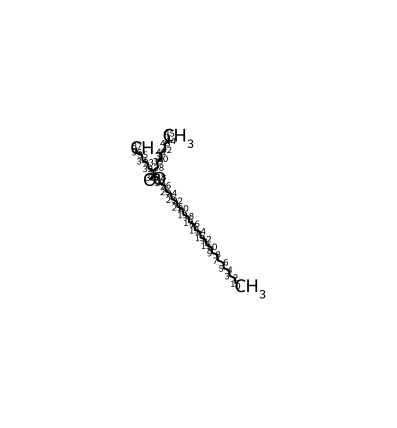 CCCCCCCCCCCCCCCCCCCCCCCCCCCCOC(=O)C(CCCCCC)CCCCCCCC